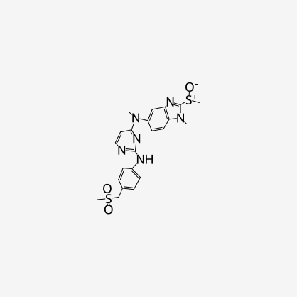 CN(c1ccc2c(c1)nc([S+](C)[O-])n2C)c1ccnc(Nc2ccc(CS(C)(=O)=O)cc2)n1